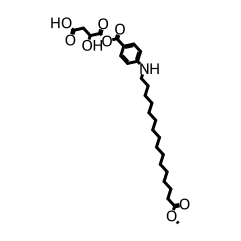 COC(=O)CCCCCCCCCCCCCCCNc1ccc(C(=O)OC(=O)C(O)CC(=O)O)cc1